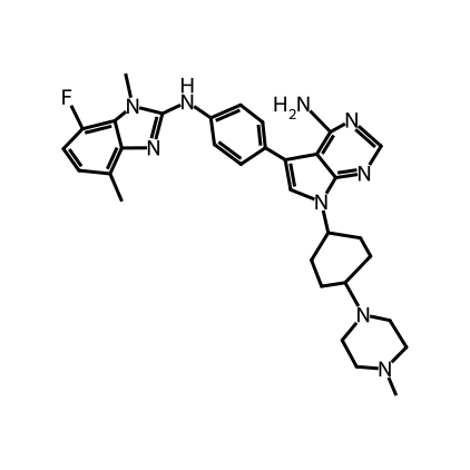 Cc1ccc(F)c2c1nc(Nc1ccc(-c3cn(C4CCC(N5CCN(C)CC5)CC4)c4ncnc(N)c34)cc1)n2C